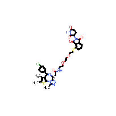 Cc1sc2c(c1C)C(c1ccc(Cl)cc1)=N[C@@H](CC(=O)NCCOCCOCCSc1cccc3c1C(=O)N(C1CCC(=O)NC1=O)C3=O)c1nnc(C)n1-2